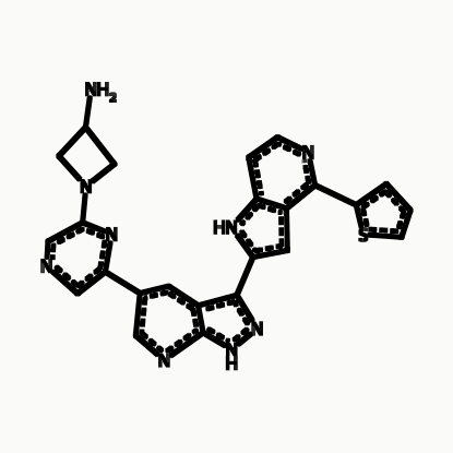 NC1CN(c2cncc(-c3cnc4[nH]nc(-c5cc6c(-c7cccs7)nccc6[nH]5)c4c3)n2)C1